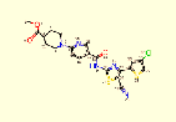 COC(=O)C1CCN(c2ccc(C(=O)Nc3nc(-c4cc(Cl)cs4)c(C#N)s3)cn2)CC1